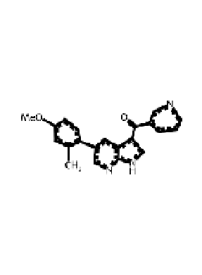 COc1ccc(-c2cnc3[nH]cc(C(=O)c4cccnc4)c3c2)c(C)c1